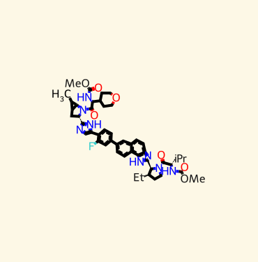 CC[C@@H]1CCN(C(=O)[C@@H](NC(=O)OC)C(C)C)[C@@H]1c1nc2ccc3cc(-c4ccc(-c5cnc([C@@H]6CC7C(C)C7N6C(=O)C(NC(=O)OC)C6CCOCC6)[nH]5)c(F)c4)ccc3c2[nH]1